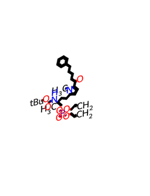 C=CCOP(=O)(OCC=C)OC[C@@](C)(CCc1ccc(C(=O)CCCCc2ccccc2)n1C)NC(=O)OC(C)(C)C